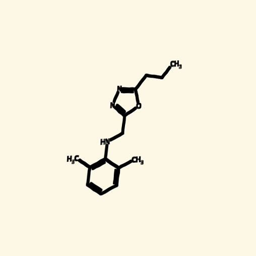 CCCc1nnc(CNc2c(C)cccc2C)o1